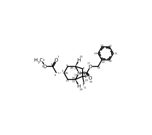 COC(=O)C[C@@H]1C[C@@H]2CC(F)(F)[C@H](C1)N2C(=O)OCc1ccccc1